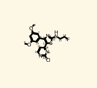 COc1cc(OC)cc(-c2nc(NCCF)sc2-c2ccnc(Cl)n2)c1